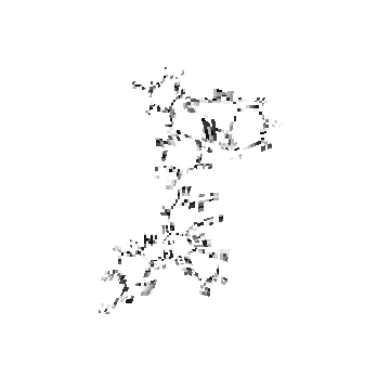 Cc1ccc2c(c1)c1ccc(-c3ccc4c5ccccc5n5c6cc(C)ccc6nc5c4c3)cc1n1c3ccccc3nc21